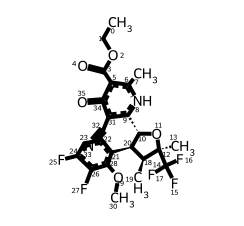 CCOC(=O)c1c(C)[nH]c([C@@H]2O[C@@](C)(C(F)(F)F)[C@@H](C)[C@H]2c2ccc(F)c(F)c2OC)c(C#N)c1=O